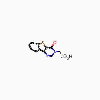 O=C(O)Cn1cnc2c(sc3ccccc32)c1=O